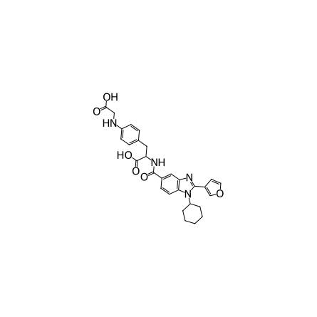 O=C(O)CNc1ccc(CC(NC(=O)c2ccc3c(c2)nc(-c2ccoc2)n3C2CCCCC2)C(=O)O)cc1